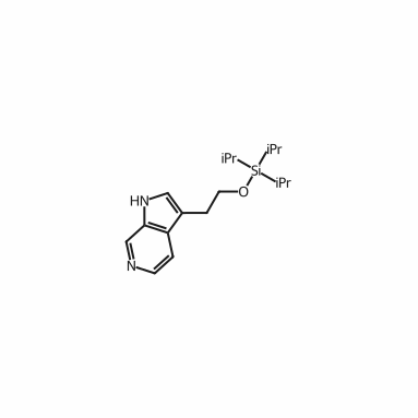 CC(C)[Si](OCCc1c[nH]c2cnccc12)(C(C)C)C(C)C